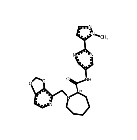 Cn1nccc1-c1ncc(NC(=O)[C@H]2CCCCCN2Cc2nccc3c2OCO3)cn1